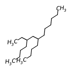 CCCCCCC(CCCC)CC(CC)CCCC